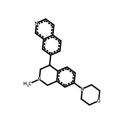 CN1Cc2cc(N3CCOCC3)ccc2C(c2ccc3ccncc3c2)C1